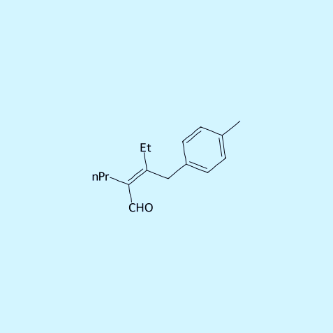 CCC/C(C=O)=C(\CC)Cc1ccc(C)cc1